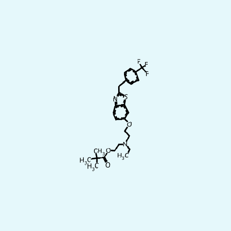 CCN(CCOC(=O)C(C)(C)C)CCOc1ccc2nc(Cc3ccc(C(F)(F)F)cc3)sc2c1